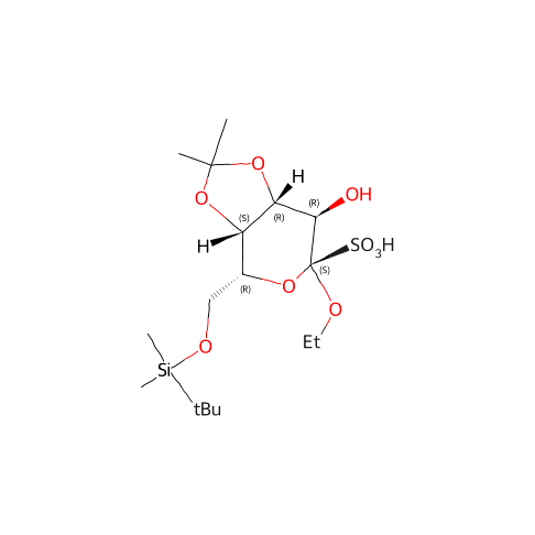 CCO[C@]1(S(=O)(=O)O)O[C@H](CO[Si](C)(C)C(C)(C)C)[C@@H]2OC(C)(C)O[C@@H]2[C@H]1O